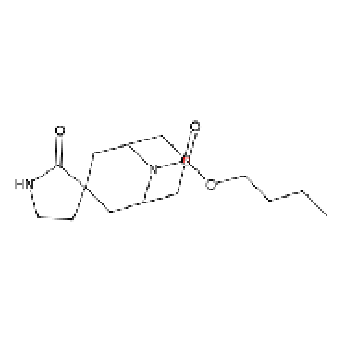 CCCCOC(=O)N1C2COCC1CC1(CCNC1=O)C2